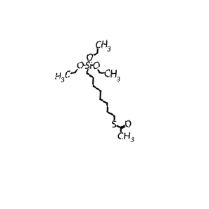 CCO[Si](CCCCCCCCSC(C)=O)(OCC)OCC